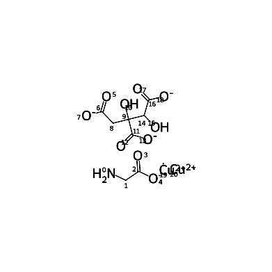 NCC(=O)[O-].O=C([O-])CC(O)(C(=O)[O-])C(O)C(=O)[O-].[Cu+2].[Cu+2]